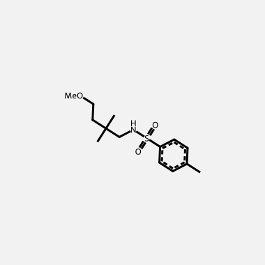 COCCC(C)(C)CNS(=O)(=O)c1ccc(C)cc1